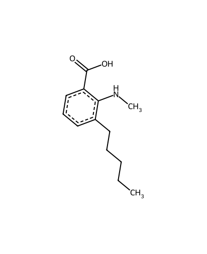 CCCCCc1cccc(C(=O)O)c1NC